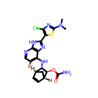 CN(C)c1nc(Cl)c(-c2nc3c(N[C@H]4[C@@H](OC(N)=O)[C@@H]5C=C[C@H]4C5)c(Br)cnc3[nH]2)s1